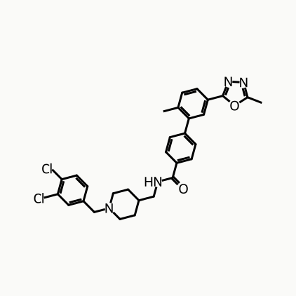 Cc1nnc(-c2ccc(C)c(-c3ccc(C(=O)NCC4CCN(Cc5ccc(Cl)c(Cl)c5)CC4)cc3)c2)o1